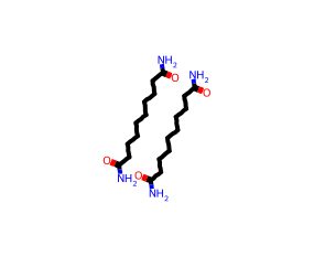 NC(=O)CCCCCCCCC(N)=O.NC(=O)CCCCCCCCC(N)=O